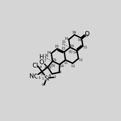 C[Si](C)C(Cl)(C#N)[C@@]1(O)CCC2C3CCC4=CC(=O)CC[C@]4(C)C3=CC[C@@]21C